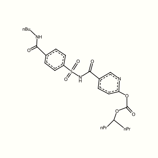 CCCCNC(=O)c1ccc(S(=O)(=O)NC(=O)c2ccc(OC(=O)OC(CCC)CCC)nc2)cc1